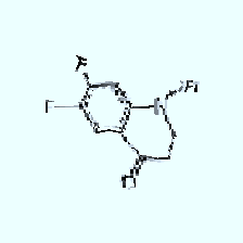 CC(C)N1CCC(=O)c2cc(F)c(F)cc21